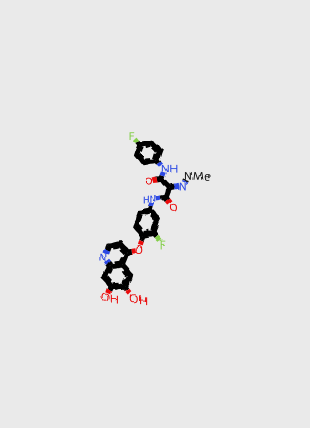 CN/N=C(\C(=O)Nc1ccc(F)cc1)C(=O)Nc1ccc(Oc2ccnc3cc(O)c(O)cc23)c(F)c1